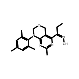 CC/C(=N/O)c1nc(C)nc2c1COCN2c1c(C)cc(C)cc1C